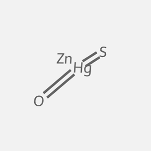 [O]=[Hg]=[S].[Zn]